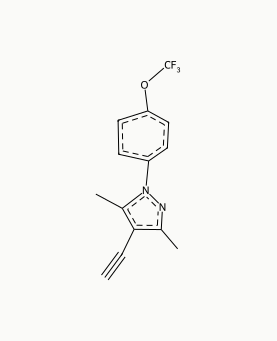 C#Cc1c(C)nn(-c2ccc(OC(F)(F)F)cc2)c1C